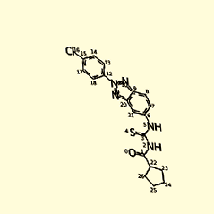 O=C(NC(=S)Nc1ccc2nn(-c3ccc(Cl)cc3)nc2c1)C1CCCC1